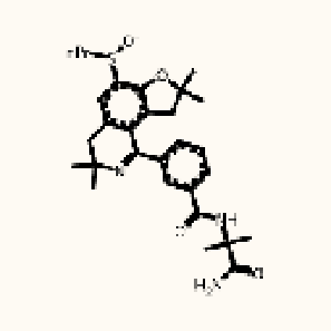 CCC[S+]([O-])c1cc2c(c3c1OC(C)(C)C3)C(c1cccc(C(=O)NC(C)(C)C(N)=O)c1)=NC(C)(C)C2